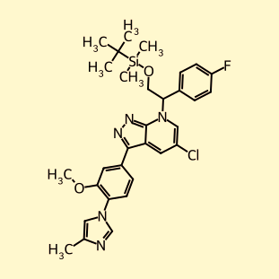 COc1cc(-c2nnc3n(C(CO[Si](C)(C)C(C)(C)C)c4ccc(F)cc4)cc(Cl)cc2-3)ccc1-n1cnc(C)c1